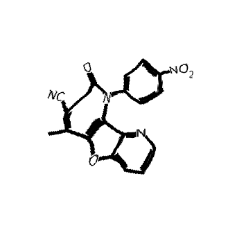 Cc1c(C#N)c(=O)n(-c2ccc([N+](=O)[O-])cc2)c2c1oc1cccnc12